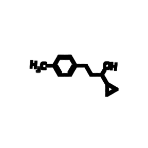 Cc1ccc(CCC(O)C2CC2)cc1